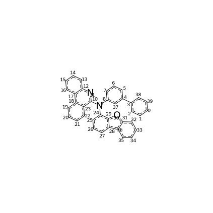 c1ccc(-c2cccc(N(c3nc4ccccc4c4ccccc34)c3cccc4c3oc3ccccc34)c2)cc1